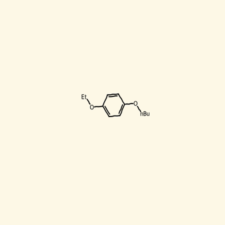 [CH2]COc1ccc(OCCCC)cc1